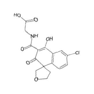 O=C(O)CNC(=O)C1=C(O)c2cc(Cl)ccc2C2(CCOC2)C1=O